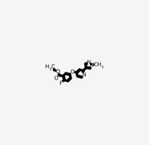 CCOC(=O)c1cc(Oc2ccnc(-c3cnn(C)c3)c2)ccc1F